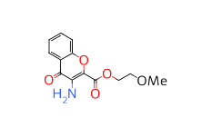 COCCOC(=O)c1oc2ccccc2c(=O)c1N